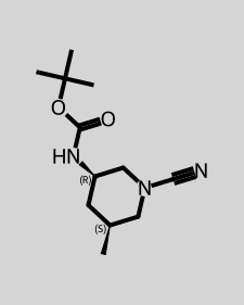 C[C@H]1C[C@@H](NC(=O)OC(C)(C)C)CN(C#N)C1